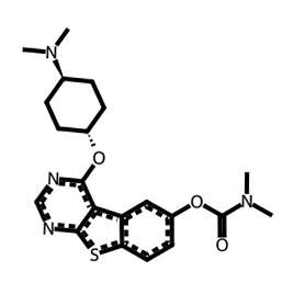 CN(C)C(=O)Oc1ccc2sc3ncnc(O[C@H]4CC[C@H](N(C)C)CC4)c3c2c1